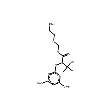 COCCOCOC(=O)C(Sc1nc(OC)cc(OC)n1)C(C)(C)C#N